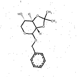 CC1(C)O[C@H]2[C@H](O1)C(OCc1ccccc1)OC[C@@H]2O